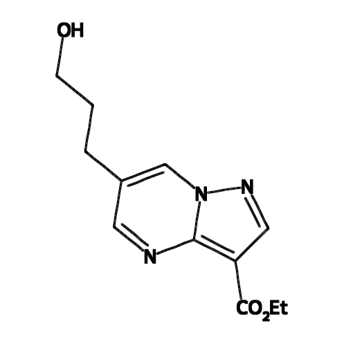 CCOC(=O)c1cnn2cc(CCCO)cnc12